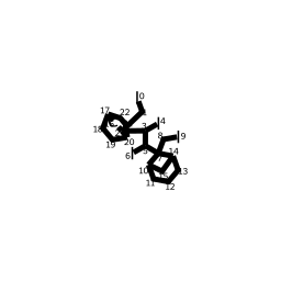 ICC1(C(I)C(I)C2(CI)C3CCCC2C3)CC2CCC1CC2